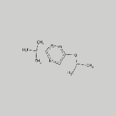 CC(C)Oc1cnc(C(C)(C)C)cn1